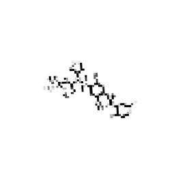 C[C@H](Nc1cc(F)c(S(=O)(=O)N(C(=O)OC(C)(C)C)c2cscn2)cc1Cl)c1cc(Cl)ccc1F